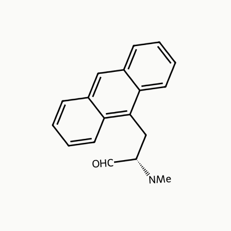 CN[C@H](C=O)Cc1c2ccccc2cc2ccccc12